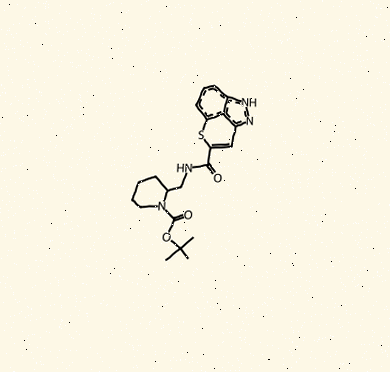 CC(C)(C)OC(=O)N1CCCCC1CNC(=O)C1=Cc2n[nH]c3cccc(c23)S1